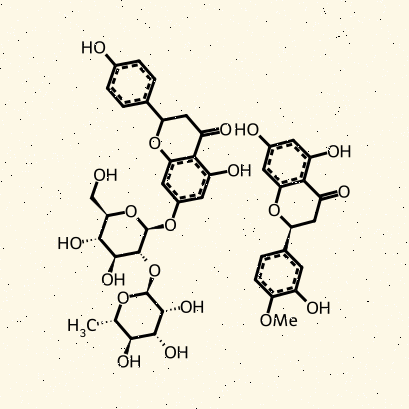 COc1ccc([C@@H]2CC(=O)c3c(O)cc(O)cc3O2)cc1O.C[C@@H]1O[C@@H](O[C@H]2[C@H](Oc3cc(O)c4c(c3)OC(c3ccc(O)cc3)CC4=O)O[C@H](CO)[C@@H](O)[C@@H]2O)[C@H](O)[C@H](O)[C@H]1O